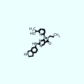 C=CCn1c(=O)c2cnc(Nc3ccc4c(c3)CNCC4)nc2n1-c1cccc(C(C)O)n1